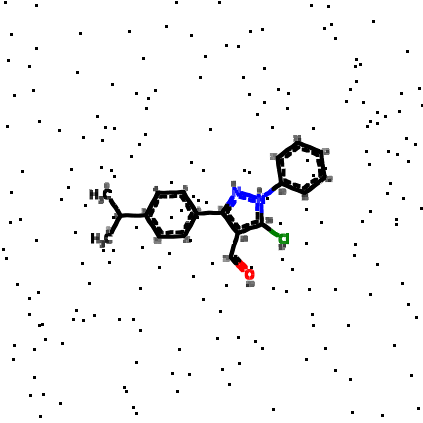 CC(C)c1ccc(-c2nn(-c3ccccc3)c(Cl)c2C=O)cc1